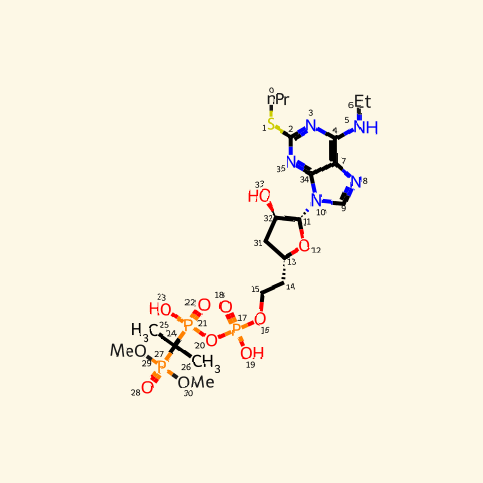 CCCSc1nc(NCC)c2ncn([C@@H]3O[C@H](CCOP(=O)(O)OP(=O)(O)C(C)(C)P(=O)(OC)OC)C[C@H]3O)c2n1